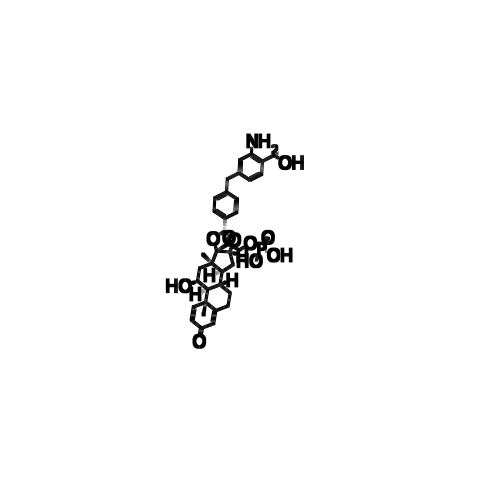 C[C@]12C=CC(=O)C=C1CC[C@@H]1[C@@H]2[C@@H](O)C[C@@]2(C)[C@H]1C[C@H]1O[C@@H](c3ccc(Cc4ccc(CO)c(N)c4)cc3)O[C@]12C(=O)COP(=O)(O)O